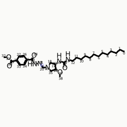 CCCCCCCCCCCCCNC(=O)N[C@H]1CN(/C=N/NC(=O)c2ccc(C(=O)OC)cc2)C[C@@H]1OC